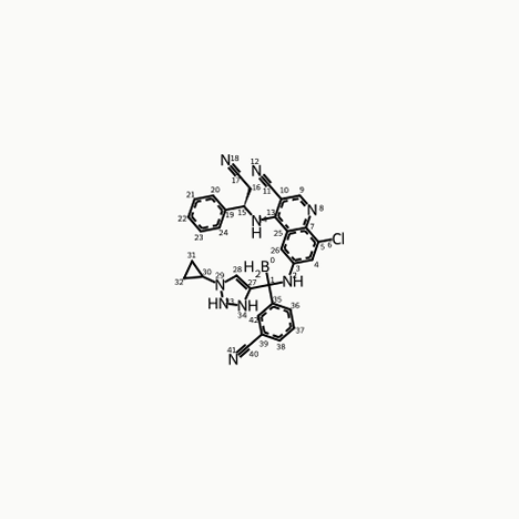 BC(Nc1cc(Cl)c2ncc(C#N)c(N[C@H](CC#N)c3ccccc3)c2c1)(C1=CN(C2CC2)NN1)c1cccc(C#N)c1